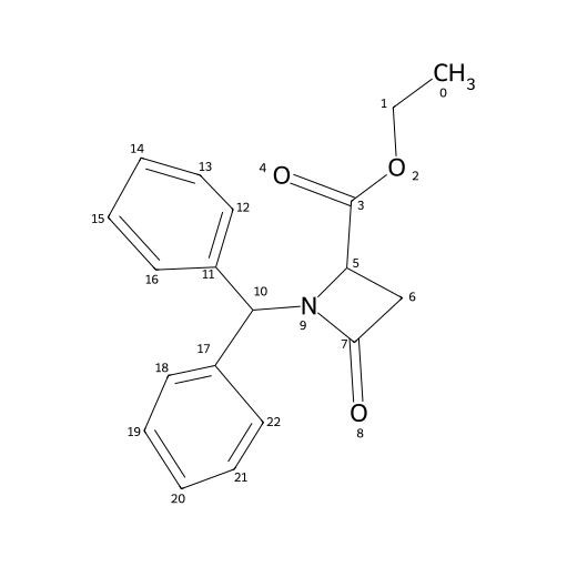 CCOC(=O)C1CC(=O)N1C(c1ccccc1)c1ccccc1